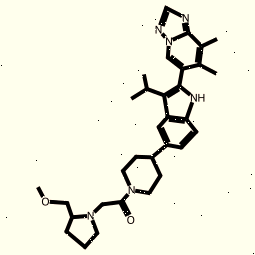 COCC1CCCN1CC(=O)N1CCC(c2ccc3[nH]c(-c4cn5ncnc5c(C)c4C)c(C(C)C)c3c2)CC1